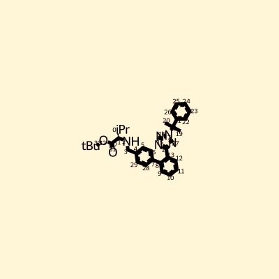 CC(C)[C@H](NCc1ccc(-c2ccccc2-c2nnn(C(C)(C)c3ccccc3)n2)cc1)C(=O)OC(C)(C)C